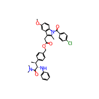 COc1ccc2c(c1)c(CC(=O)OCc1ccc([C@H](C)[C@H](Nc3ccccc3)C(=O)N(C)C)cc1)c(C)n2C(=O)c1ccc(Cl)cc1